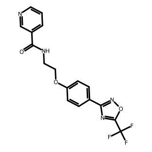 O=C(NCCOc1ccc(-c2noc(C(F)(F)F)n2)cc1)c1cccnc1